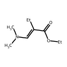 CCOC(=O)C(=CN(C)C)CC